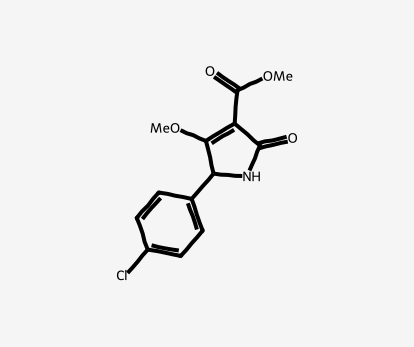 COC(=O)C1=C(OC)C(c2ccc(Cl)cc2)NC1=O